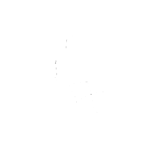 CC(=O)C1(O)CC(NC(=O)OC(C)(C)C)C1